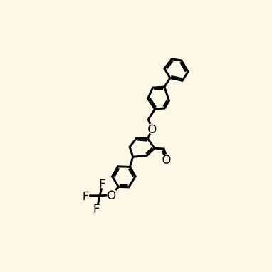 O=CC1=CC(c2ccc(OC(F)(F)F)cc2)CC=C1OCc1ccc(-c2ccccc2)cc1